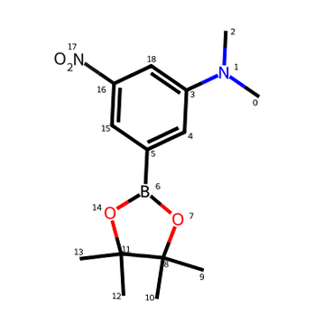 CN(C)c1cc(B2OC(C)(C)C(C)(C)O2)cc([N+](=O)[O-])c1